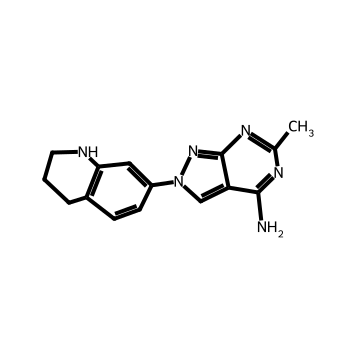 Cc1nc(N)c2cn(-c3ccc4c(c3)NCCC4)nc2n1